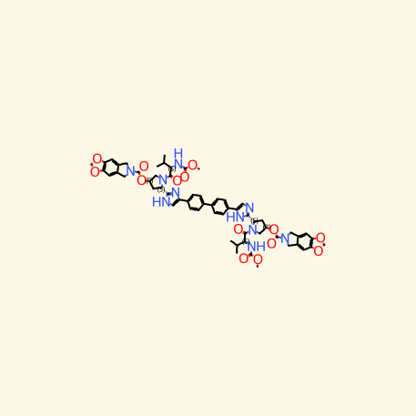 COC(=O)N[C@H](C(=O)N1C[C@H](OC(=O)N2Cc3cc4c(cc3C2)OCO4)C[C@H]1c1nc(-c2ccc(-c3ccc(-c4cnc([C@@H]5C[C@@H](OC(=O)N6Cc7cc8c(cc7C6)OCO8)CN5C(=O)[C@@H](NC(=O)OC)C(C)C)[nH]4)cc3)cc2)c[nH]1)C(C)C